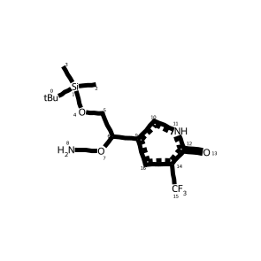 CC(C)(C)[Si](C)(C)OCC(ON)c1c[nH]c(=O)c(C(F)(F)F)c1